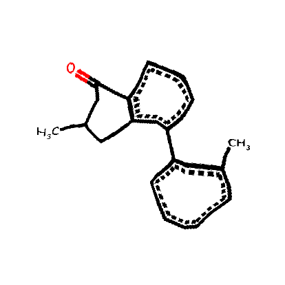 Cc1ccccc1-c1cccc2c1CC(C)C2=O